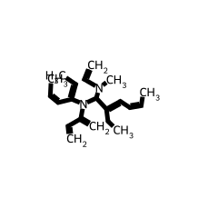 C=CC(=C)N(C(/C=C\C)=C/C)C(/C(=C/C=C\C)CC)N(C)C=C